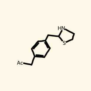 CC(=O)Cc1ccc(CC2NCCS2)cc1